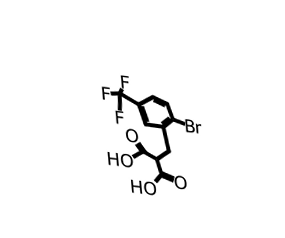 O=C(O)C(Cc1cc(C(F)(F)F)ccc1Br)C(=O)O